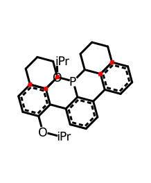 CC(C)Oc1cccc(OC(C)C)c1-c1cccc(-c2ccccc2)c1P(C1CCCCC1)C1CCCCC1